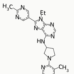 CCn1c(-c2cnc(C)nc2)nc2c(NC3CCN(c4ncccc4C)C3)ncnc21